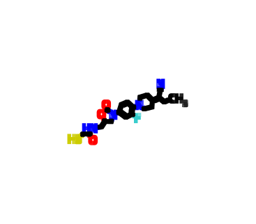 CCC(C#N)=C1CCN(c2ccc(N3CC(CNC(=O)CS)OC3=O)cc2F)CC1